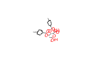 Cc1ccc(C(=O)O[C@@H](CC(=O)O)[C@H](CC(=O)O)OC(=O)c2ccc(C)cc2)cc1